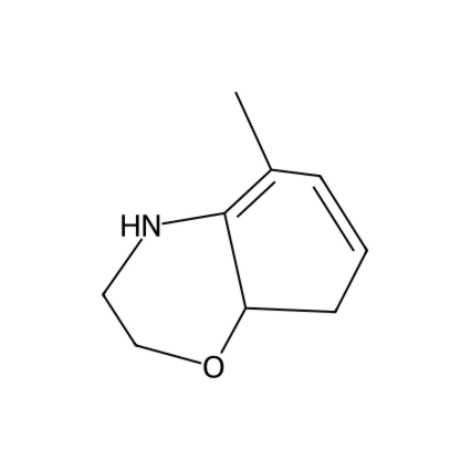 CC1=C2NCCOC2CC=C1